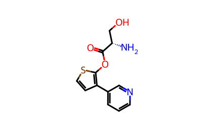 N[C@@H](CO)C(=O)Oc1sccc1-c1cccnc1